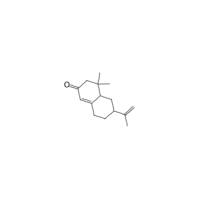 C=C(C)C1CCC2=CC(=O)CC(C)(C)C2C1